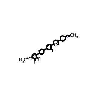 C/C=C/C1CCC(C2CCC(c3ccc(-c4ccc(-c5ccc(OCC)c(F)c5F)cc4)cc3F)CC2)CC1